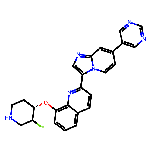 FC1CNCC[C@@H]1Oc1cccc2ccc(-c3cnc4cc(-c5cncnc5)ccn34)nc12